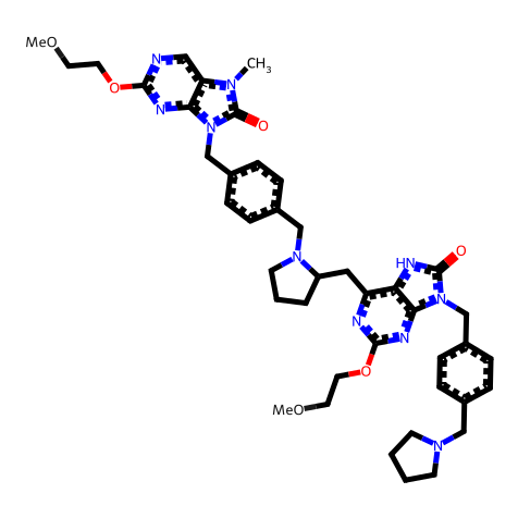 COCCOc1nc(CC2CCCN2Cc2ccc(Cn3c(=O)n(C)c4cnc(OCCOC)nc43)cc2)c2[nH]c(=O)n(Cc3ccc(CN4CCCC4)cc3)c2n1